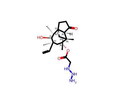 C=C[C@]1(C)C[C@@H](OC(=O)CNNN)[C@]2(C)[C@H](C)CC[C@]3(CCC(=O)[C@H]32)[C@@H](C)[C@@H]1O